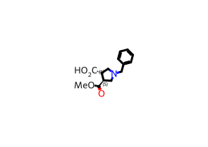 COC(=O)[C@@H]1CN(Cc2ccccc2)C[C@H]1C(=O)O